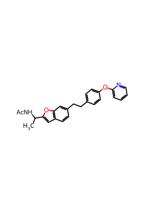 CC(=O)NC(C)c1cc2ccc(CCc3ccc(Oc4ccccn4)cc3)cc2o1